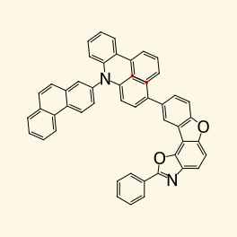 c1ccc(-c2nc3ccc4oc5ccc(-c6ccc(N(c7ccc8c(ccc9ccccc98)c7)c7ccccc7-c7ccccc7)cc6)cc5c4c3o2)cc1